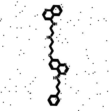 c1ccc(CCCNc2ncnc3cc(OCCCNCCNc4ccnc5ccccc45)ccc23)cc1